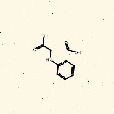 O=C(O)CNc1ccccc1.O=CO